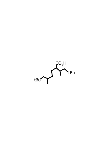 CC(CCC(C(=O)O)C(C)CC(C)(C)C)CC(C)(C)C